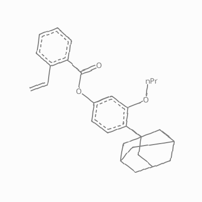 C=Cc1ccccc1C(=O)Oc1ccc(C23CC4CC(CC(C4)C2)C3)c(OCCC)c1